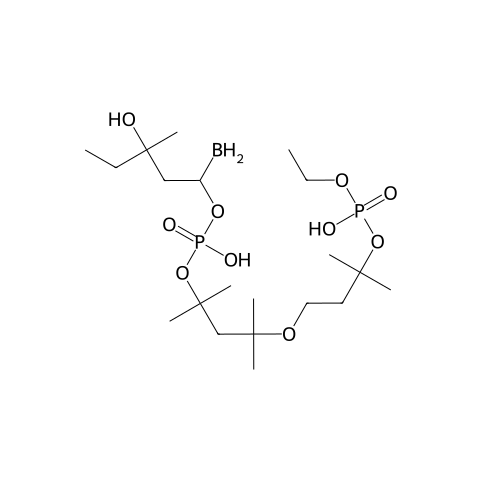 BC(CC(C)(O)CC)OP(=O)(O)OC(C)(C)CC(C)(C)OCCC(C)(C)OP(=O)(O)OCC